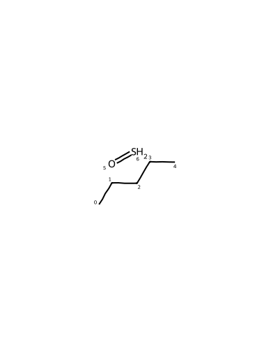 CCCCC.O=[SH2]